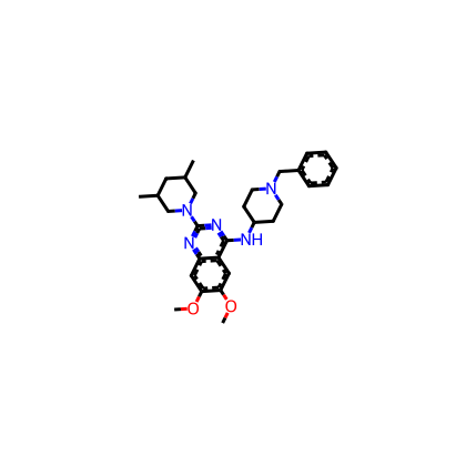 COc1cc2nc(N3CC(C)CC(C)C3)nc(NC3CCN(Cc4ccccc4)CC3)c2cc1OC